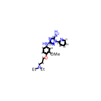 CCN(CC)CCCOc1ccc(Nc2nc(N)n(-c3ccccn3)n2)cc1OC